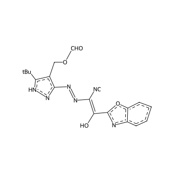 [C-]#[N+]C(/N=N/c1n[nH]c(C(C)(C)C)c1COC=O)=C(/O)c1nc2ccccc2o1